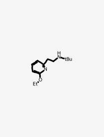 CCOc1cccc(CCNC(C)(C)C)n1